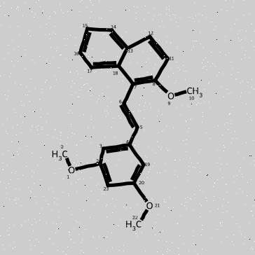 COc1cc(C=Cc2c(OC)ccc3ccccc23)cc(OC)c1